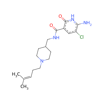 CC(C)=CCCN1CCC(CNC(=O)c2cc(Cl)c(N)[nH]c2=O)CC1